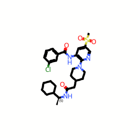 C[C@H](NC(=O)CC1CCN(c2ncc(S(C)(=O)=O)cc2NC(=O)c2cccc(Cl)c2)CC1)C1CCCCC1